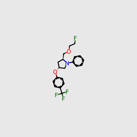 FCCOC[C@@H]1C[C@@H](Oc2ccc(C(F)(F)F)cc2)CN1c1ccccc1